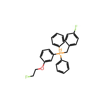 FCCOc1cccc([PH](Cc2ccc(F)cc2)(c2ccccc2)c2ccccc2)c1